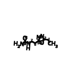 CCc1nnc(CCNC(N)=O)o1